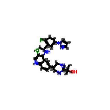 CC(Nc1c(Cl)cnc2ccc(-c3cnc(C(C)(C)O)nc3)cc12)c1cc(-n2cccn2)ccc1F